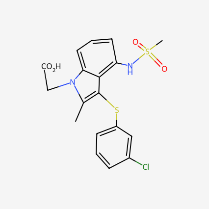 Cc1c(Sc2cccc(Cl)c2)c2c(NS(C)(=O)=O)cccc2n1CC(=O)O